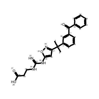 CC(C)(c1cccc(C(=O)c2ccccc2)c1)c1cc(NC(=N)NCCC(=O)O)on1